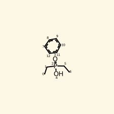 CCP(=O)(O)CC.c1ccccc1